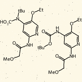 CCOc1cnc(NC(=O)COC)cc1N(C(=O)O)C(C)(C)C.CCOc1cnc(NC(=O)COC)cc1NC(=O)OC(C)(C)C